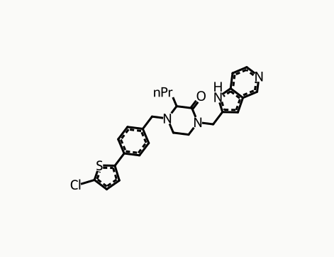 CCCC1C(=O)N(Cc2cc3cnccc3[nH]2)CCN1Cc1ccc(-c2ccc(Cl)s2)cc1